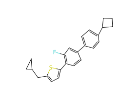 Fc1cc(-c2ccc(C3CCC3)cc2)ccc1-c1ccc(CC2CC2)s1